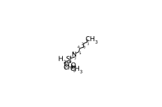 CCCCCCN=C[SiH2]C(OC)OC